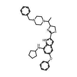 CC(C1CSC(c2cc3cc(Oc4ccccc4)cc(NC4CCCC4)c3[nH]2)=N1)N1CCN(Cc2ccccc2)CC1